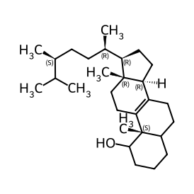 CC(C)[C@@H](C)CC[C@@H](C)[C@H]1CC[C@H]2C3=C(CC[C@]12C)[C@@]1(C)C(O)CCCC1CC3